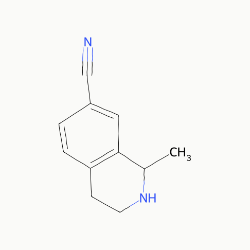 CC1NCCc2ccc(C#N)cc21